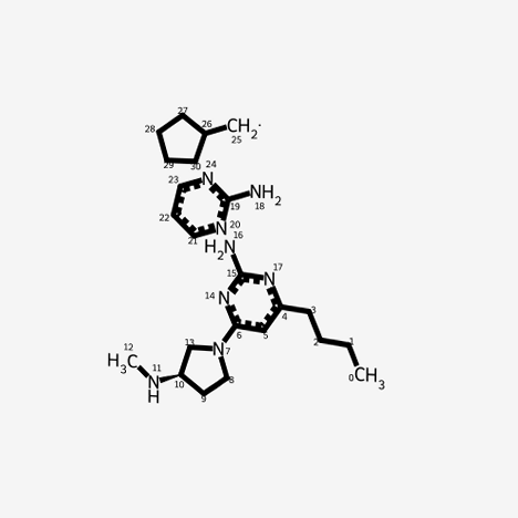 CCCCc1cc(N2CC[C@@H](NC)C2)nc(N)n1.Nc1ncccn1.[CH2]C1CCCC1